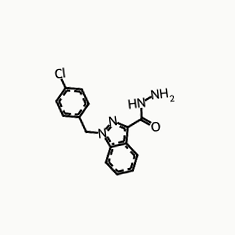 NNC(=O)c1nn(Cc2ccc(Cl)cc2)c2ccccc12